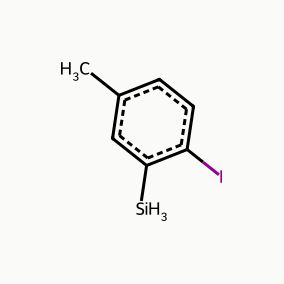 Cc1ccc(I)c([SiH3])c1